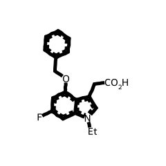 CCn1cc(CC(=O)O)c2c(OCc3ccccc3)cc(F)cc21